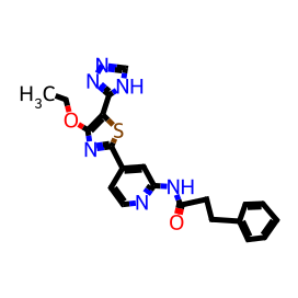 CCOc1nc(-c2ccnc(NC(=O)CCc3ccccc3)c2)sc1-c1nnc[nH]1